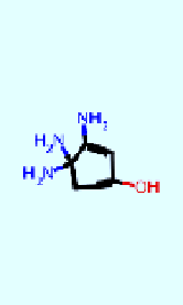 NC1=CC(O)=CCC1(N)N